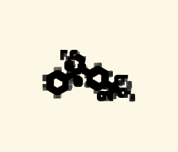 O=NC(c1ccc(N(CC(F)(F)F)S(=O)(=O)C2=CC=CCC2)cc1)(C(F)(F)F)C(F)(F)F